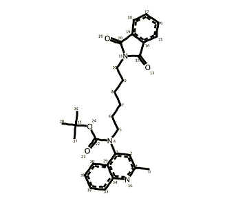 Cc1cc(N(CCCCCCN2C(=O)c3ccccc3C2=O)C(=O)OC(C)(C)C)c2ccccc2n1